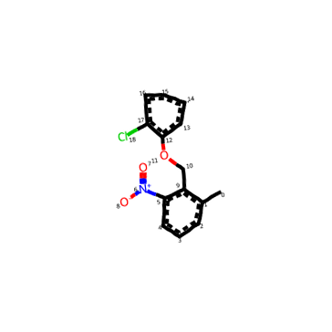 Cc1cccc([N+](=O)[O-])c1COc1c[c]ccc1Cl